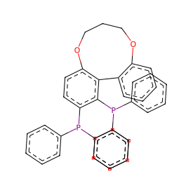 c1ccc(P(c2ccccc2)c2ccc3c(c2P(c2ccccc2)c2ccccc2)-c2ccccc2OCCCO3)cc1